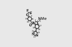 CNCc1cn([S+]([O-])c2ccc(OC(F)F)cc2)c2cc(-c3cncnc3)ccc12